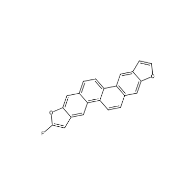 Fc1cc2cc3c(ccc4c5cc6ccoc6cc5ccc34)cc2o1